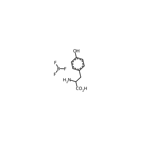 FB(F)F.NC(Cc1ccc(O)cc1)C(=O)O